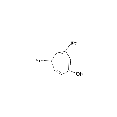 CC(C)C1=CC(Br)C=CC(O)=C1